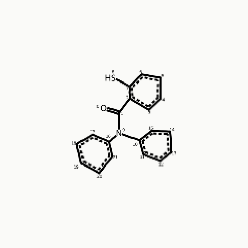 O=C(c1ccccc1S)N(c1ccccc1)c1ccccc1